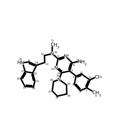 Cc1ccc(-c2c(N)nc(N(C)CCc3c[nH]c4ccccc34)nc2N2CCCCC2)cc1Cl